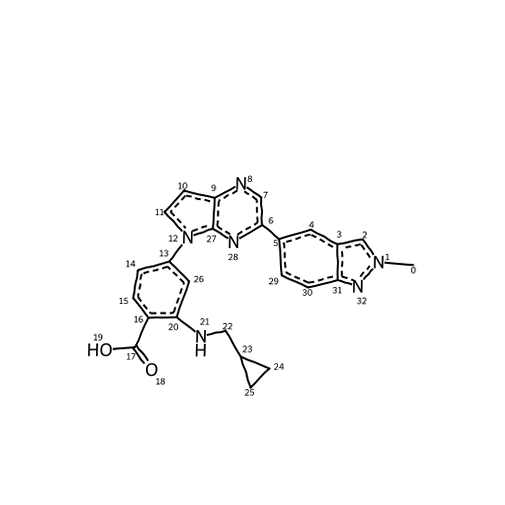 Cn1cc2cc(-c3cnc4ccn(-c5ccc(C(=O)O)c(NCC6CC6)c5)c4n3)ccc2n1